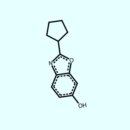 Oc1ccc2nc(C3CCCC3)oc2c1